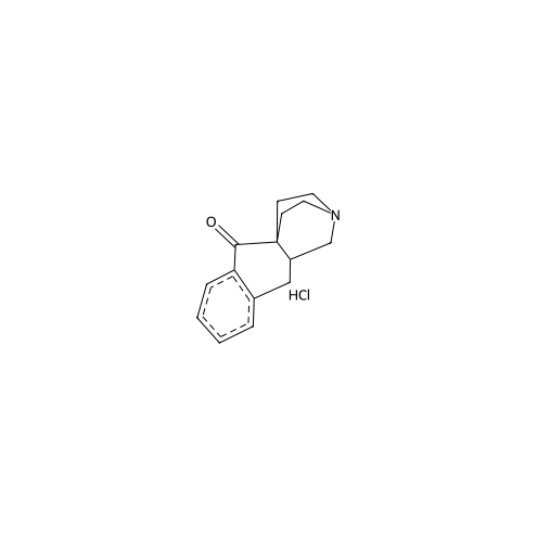 Cl.O=C1c2ccccc2CC2CN3CCC12CC3